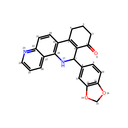 O=C1CCCC2=C1C(c1ccc3c(c1)OCO3)Nc1c2ccc2ncccc12